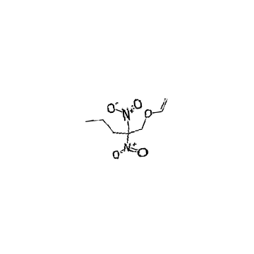 C=COCC(CCC)([N+](=O)[O-])[N+](=O)[O-]